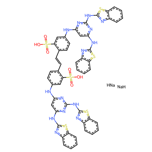 O=S(=O)(O)c1cc(Nc2cc(Nc3nc4ccccc4s3)nc(Nc3nc4ccccc4s3)n2)ccc1C=Cc1ccc(Nc2cc(Nc3nc4ccccc4s3)nc(Nc3nc4ccccc4s3)n2)cc1S(=O)(=O)O.[NaH].[NaH]